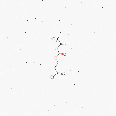 C=C(CC(=O)OCCN(CC)CC)C(=O)O